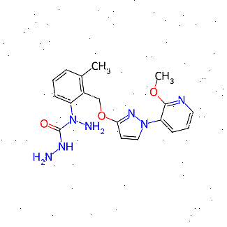 COc1ncccc1-n1ccc(OCc2c(C)cccc2N(N)C(=O)NN)n1